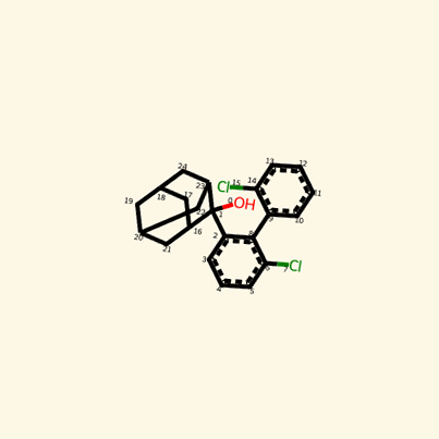 OC1(c2cccc(Cl)c2-c2ccccc2Cl)C2CC3CC(C2)CC1C3